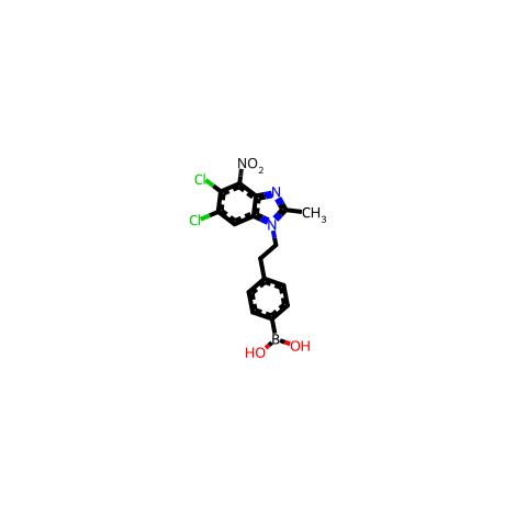 Cc1nc2c([N+](=O)[O-])c(Cl)c(Cl)cc2n1CCc1ccc(B(O)O)cc1